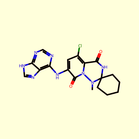 CN1n2c(c(Cl)cc(Nc3ncnc4[nH]cnc34)c2=O)C(=O)NC12CCCCC2